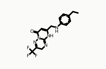 CCc1ccc(NCC2=CC(=O)N3N=C(C(F)(F)F)CN=C3N2)cc1